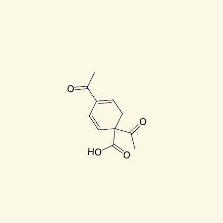 CC(=O)C1=CCC(C(C)=O)(C(=O)O)C=C1